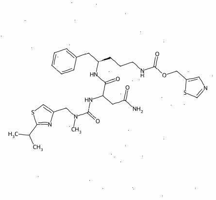 CC(C)c1nc(CN(C)C(=O)NC(CC(N)=O)C(=O)N[C@H](CCCNC(=O)OCc2cncs2)Cc2ccccc2)cs1